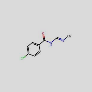 N#CN=CNC(=O)c1ccc(Cl)cc1